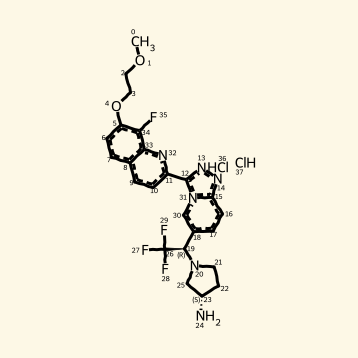 COCCOc1ccc2ccc(-c3nnc4ccc([C@@H](N5CC[C@H](N)C5)C(F)(F)F)cn34)nc2c1F.Cl.Cl